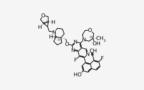 C#Cc1c(F)ccc2cc(O)cc(-c3ncc4c(N5CCOC[C@@](C)(O)C5)nc(OC[C@]56CCC[C@H]5N(CC5[C@H]7COC[C@@H]57)CCC6)nc4c3F)c12